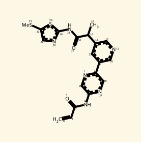 C=CC(=O)Nc1cnc(-c2cncc(C(C)C(=O)Nc3ncc(SC)s3)c2)cn1